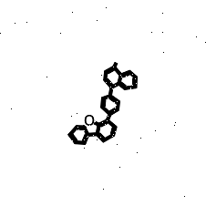 Cc1ccc(-c2ccc(-c3cccc4c3oc3ccccc34)cc2)c2ccccc12